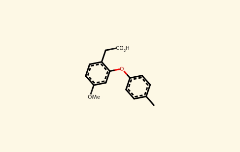 COc1ccc(CC(=O)O)c(Oc2ccc(C)cc2)c1